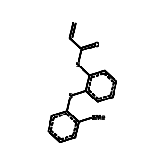 C=CC(=O)Sc1ccccc1Sc1ccccc1SC